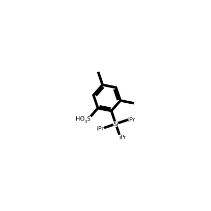 Cc1cc(C)c([Si](C(C)C)(C(C)C)C(C)C)c(S(=O)(=O)O)c1